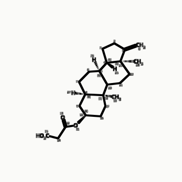 C=C1CC[C@H]2[C@@H]3CC[C@@H]4C[C@H](OC(=O)CC(=O)O)CC[C@]4(C)C3CC[C@]12C